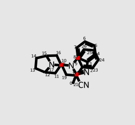 Cc1nc2ccccc2n1C1CC2CCC(C1)N2CCC(C#N)c1ccccc1